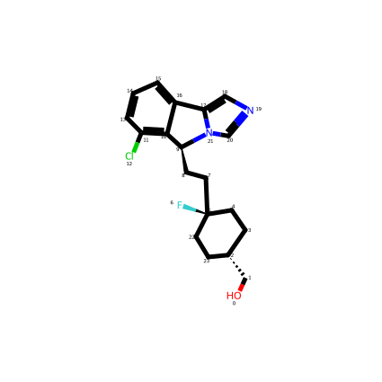 OC[C@H]1CC[C@@](F)(CC[C@H]2c3c(Cl)cccc3-c3cncn32)CC1